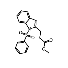 COC(=O)CCc1cc2ccccc2n1S(=O)(=O)c1ccccc1